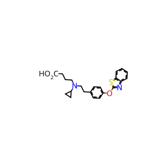 O=C(O)CCCN(CCc1ccc(Oc2nc3ccccc3s2)cc1)C1CC1